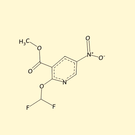 COC(=O)c1cc([N+](=O)[O-])cnc1OC(F)F